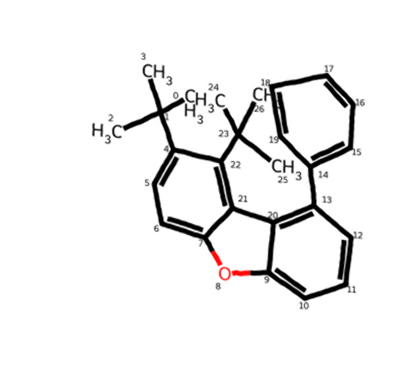 CC(C)(C)c1ccc2oc3cccc(-c4ccccc4)c3c2c1C(C)(C)C